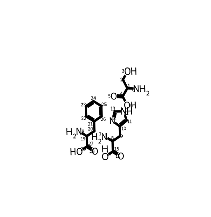 NC(CO)C(=O)O.NC(Cc1c[nH]cn1)C(=O)O.NC(Cc1ccccc1)C(=O)O